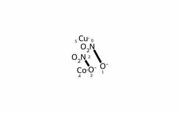 O=[N+]([O-])[O-].O=[N+]([O-])[O-].[Co].[Cu]